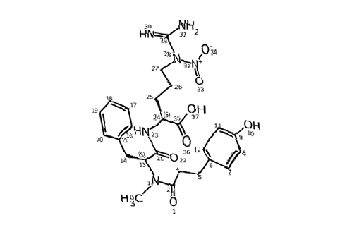 CN(C(=O)CCc1ccc(O)cc1)[C@@H](Cc1ccccc1)C(=O)N[C@@H](CCCN(C(=N)N)[N+](=O)[O-])C(=O)O